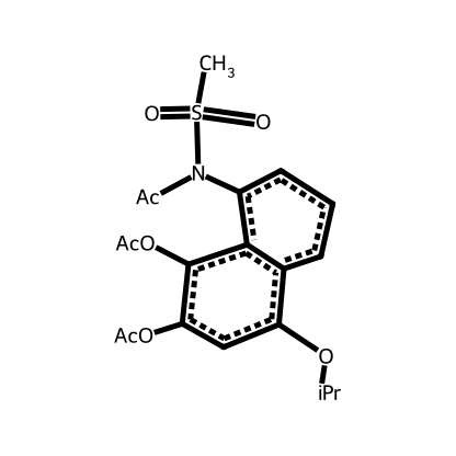 CC(=O)Oc1cc(OC(C)C)c2cccc(N(C(C)=O)S(C)(=O)=O)c2c1OC(C)=O